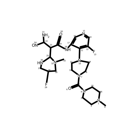 CN1CCN(C(=O)N2CCN(c3c(F)cncc3NC(=O)C(C(N)N=O)C3NCC(F)CN3C)CC2)CC1